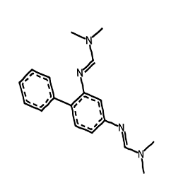 CN(C)C=Nc1ccc(-c2ccccc2)c(N=CN(C)C)c1